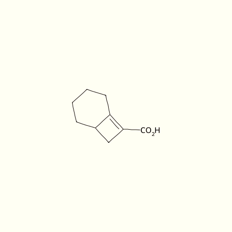 O=C(O)C1=C2CCCCC2C1